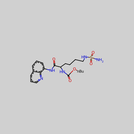 CCCCOC(=O)NC(CCCCNS(N)(=O)=O)C(=O)Nc1cccc2cccnc12